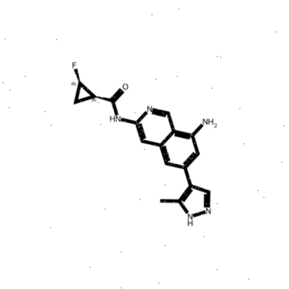 Cc1[nH]ncc1-c1cc(N)c2cnc(NC(=O)[C@H]3C[C@H]3F)cc2c1